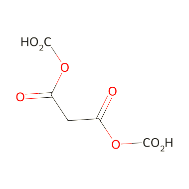 O=C(O)OC(=O)CC(=O)OC(=O)O